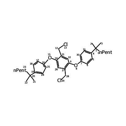 CCCCCC(C)(C)c1ccc(Oc2cc(CCl)c(Oc3ccc(C(C)(C)CCCCC)cc3)cc2CCl)cc1